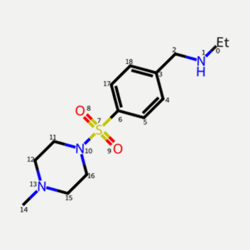 CCNCc1ccc(S(=O)(=O)N2CCN(C)CC2)cc1